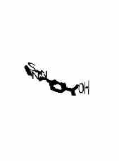 CC(CO)c1ccc(-c2cn3ccsc3n2)cc1